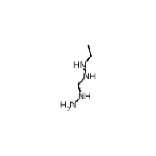 CCNNCNN